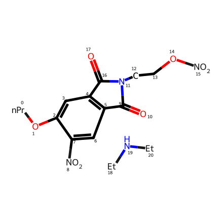 CCCOc1cc2c(cc1[N+](=O)[O-])C(=O)N(CCO[N+](=O)[O-])C2=O.CCNCC